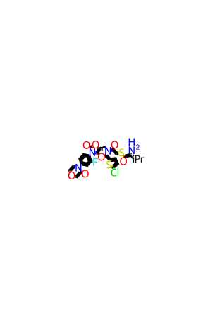 CC(C)[C@H](N)C(=O)SCC(=O)N(C[C@H]1CN(c2ccc(N3CCOCC3=O)cc2F)C(=O)O1)C(=O)c1ccc(Cl)s1